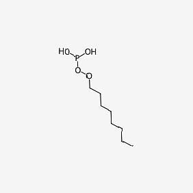 CCCCCCCCOOP(O)O